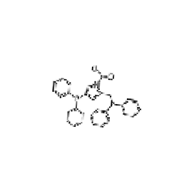 O=C(Cl)n1cc(P(c2ccccc2)c2ccccc2)cc1CP(c1ccccc1)c1ccccc1